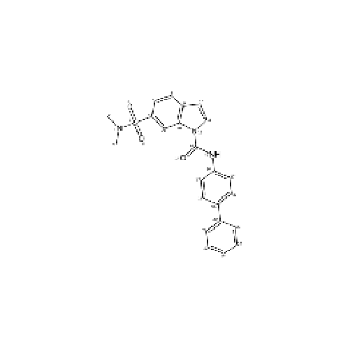 CN(C)S(=O)(=O)c1ccc2ccn(C(=O)Nc3ccc(-c4ccccc4)cc3)c2c1